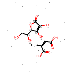 C/C(=C/C(=O)O)C(=O)O.O=C1O[C@H]([C@@H](O)CO)C(O)=C1O